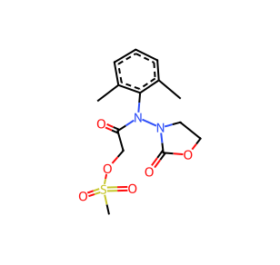 Cc1cccc(C)c1N(C(=O)COS(C)(=O)=O)N1CCOC1=O